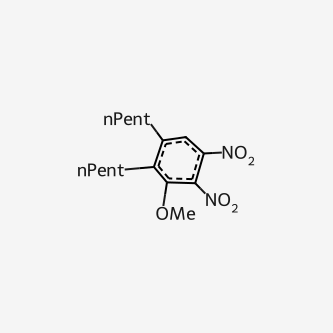 CCCCCc1cc([N+](=O)[O-])c([N+](=O)[O-])c(OC)c1CCCCC